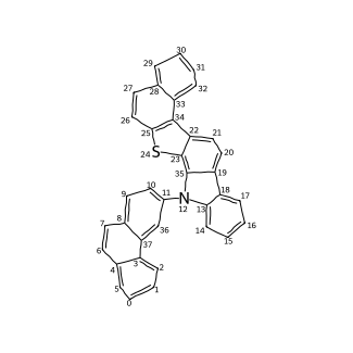 c1ccc2c(c1)ccc1ccc(-n3c4ccccc4c4ccc5c(sc6ccc7ccccc7c65)c43)cc12